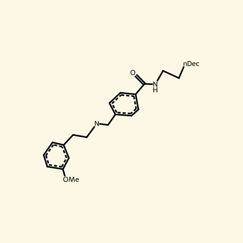 CCCCCCCCCCCCNC(=O)c1ccc(C[N]CCc2cccc(OC)c2)cc1